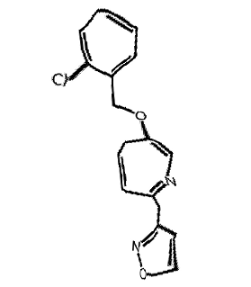 Clc1ccccc1COc1ccc(-c2ccon2)nc1